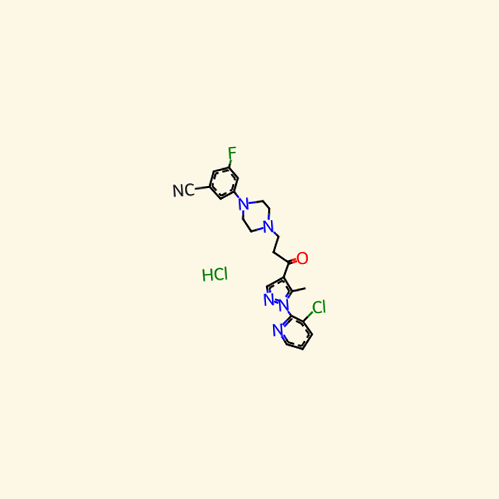 Cc1c(C(=O)CCN2CCN(c3cc(F)cc(C#N)c3)CC2)cnn1-c1ncccc1Cl.Cl